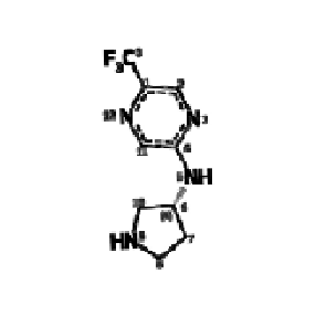 FC(F)(F)c1cnc(N[C@@H]2CCNC2)cn1